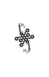 CCCCCCc1cc2c(CCc3ccccc3)c3c(-c4ccccc4)c4c(CCc5ccccc5)c5sc(CCCCCC)cc5c(CCc5ccccc5)c4c(-c4ccccc4)c3c(CCc3ccccc3)c2s1